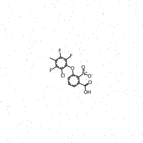 Cc1c(F)c(F)c(Oc2cccc(C(=O)O)c2[N+](=O)[O-])c(Cl)c1F